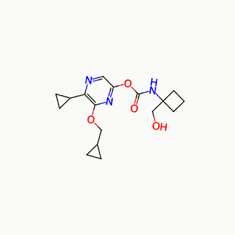 O=C(NC1(CO)CCC1)Oc1cnc(C2CC2)c(OCC2CC2)n1